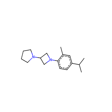 Cc1cc(C(C)C)ccc1N1CC(N2CCCC2)C1